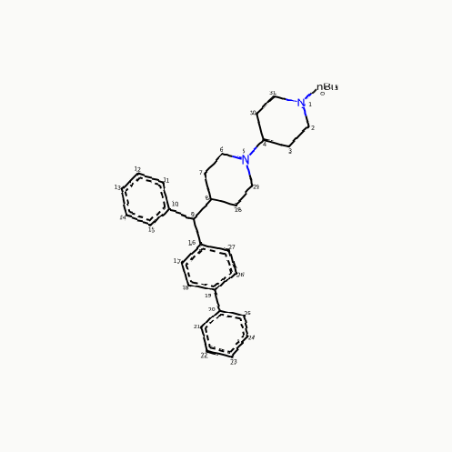 CCCCN1CCC(N2CCC(C(c3ccccc3)c3ccc(-c4ccccc4)cc3)CC2)CC1